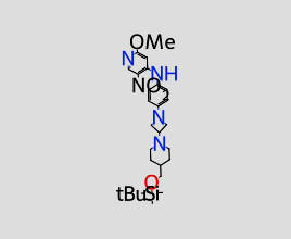 COc1cc(Nc2ccc(N3CC(N4CCC(CO[Si](C)(C)C(C)(C)C)CC4)C3)cc2)c([N+](=O)[O-])cn1